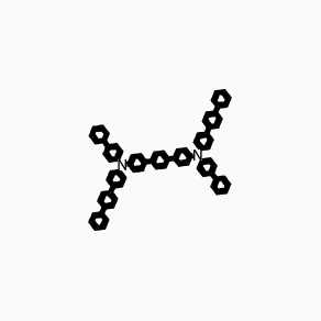 C1=CCC(c2ccc(N(c3ccc(-c4ccc(-c5ccccc5)cc4)cc3)c3ccc(-c4ccc(-c5ccc(N(c6ccc(-c7ccccc7)cc6)c6ccc(-c7ccc(-c8ccccc8)cc7)cc6)cc5)cc4)cc3)cc2)C=C1